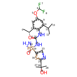 CCc1cc(OC(F)F)cc(C(C)C)c1NC(=O)N[SH](N)(=O)c1cnc(C(C)(C)O)s1